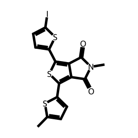 Cc1ccc(-c2sc(-c3ccc(I)s3)c3c2C(=O)N(C)C3=O)s1